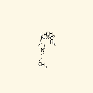 CCCCCN1CCC(CN(C)CC(C)C)CC1